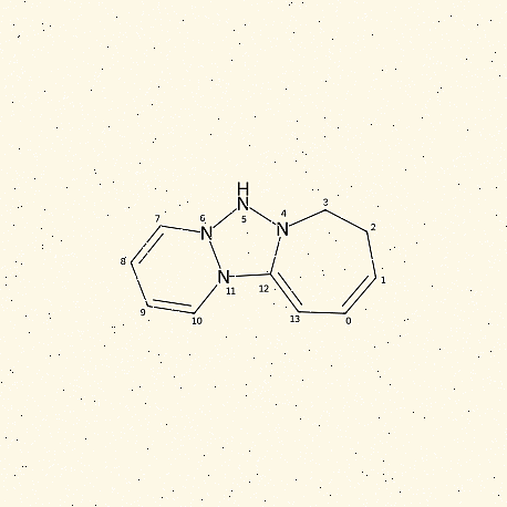 C1=CCCN2NN3C=CC=CN3C2=C1